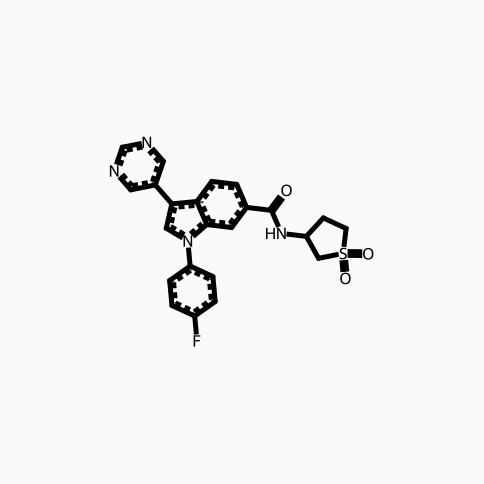 O=C(NC1CCS(=O)(=O)C1)c1ccc2c(-c3cncnc3)cn(-c3ccc(F)cc3)c2c1